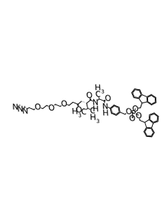 CC(C)[C@H](CC(=O)CCOCCOCCOCCN=[N+]=[N-])C(=O)N[C@@H](C)C(=O)Nc1ccc(COP(=O)(OCC2c3ccccc3-c3ccccc32)OCC2c3ccccc3-c3ccccc32)cc1